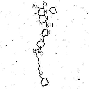 CC(=O)c1c(C)c2cnc(Nc3ccc(N4CCN(S(=O)(=O)CCCCCOCc5ccccc5)CC4)cn3)nc2n(C2CCCC2)c1=O